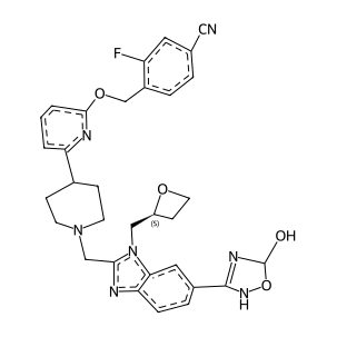 N#Cc1ccc(COc2cccc(C3CCN(Cc4nc5ccc(C6=NC(O)ON6)cc5n4C[C@@H]4CCO4)CC3)n2)c(F)c1